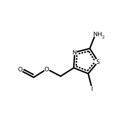 Nc1nc(COC=O)c(I)s1